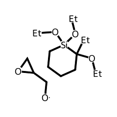 CCOC1(CC)CCCC[Si]1(OCC)OCC.[O]CC1CO1